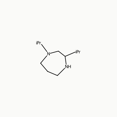 CC(C)C1CN(C(C)C)CCCN1